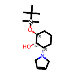 CC(C)(C)[Si](C)(C)O[C@H]1CCC[C@H](N2CC=CC2)[C@@H]1O